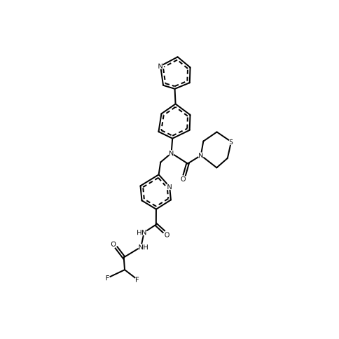 O=C(NNC(=O)C(F)F)c1ccc(CN(C(=O)N2CCSCC2)c2ccc(-c3cccnc3)cc2)nc1